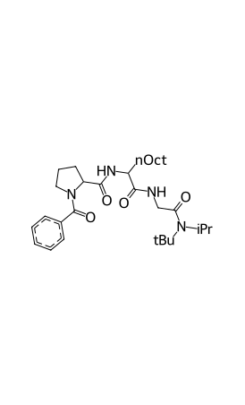 CCCCCCCCC(NC(=O)C1CCCN1C(=O)c1ccccc1)C(=O)NCC(=O)N(C(C)C)C(C)(C)C